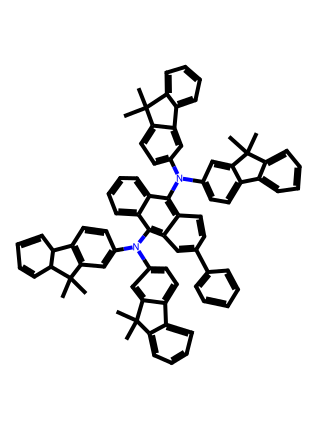 CC1(C)c2ccccc2-c2cc(N(c3ccc4c(c3)C(C)(C)c3ccccc3-4)c3c4ccccc4c(N(c4ccc5c(c4)C(C)(C)c4ccccc4-5)c4ccc5c(c4)C(C)(C)C4C=CC=CC54)c4cc(-c5ccccc5)ccc34)ccc21